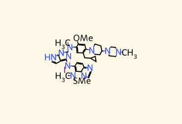 COc1cc(N2CCC(N3CCN(C)CC3)CC2)c(CC2CC2)cc1N(C)c1nc(N(I)c2ccc3nccnc3c2N(C)SC)c2cc[nH]c2n1